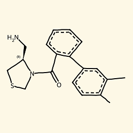 Cc1ccc(-c2ccccc2C(=O)N2CSC[C@H]2CN)cc1C